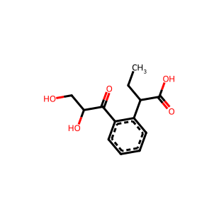 CCC(C(=O)O)c1ccccc1C(=O)C(O)CO